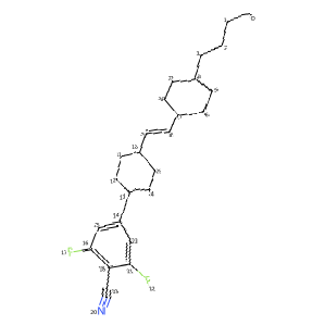 CCCCC1CCC(/C=C/C2CCC(c3cc(F)c(C#N)c(F)c3)CC2)CC1